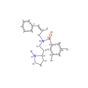 CC(=Cc1ccccc1)CN(CCC1CCCN1C)C(=O)c1cc(C)cc(C)c1